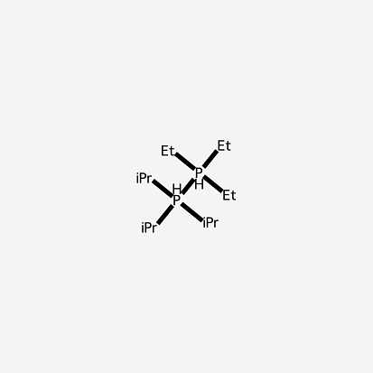 CC[PH](CC)(CC)[PH](C(C)C)(C(C)C)C(C)C